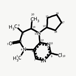 CC1C(=O)N(C)c2cnc(Cl)nc2N(C2CCCC2)C1C